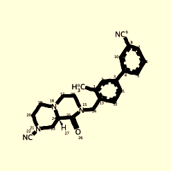 Cc1cc(-c2cccc(C#N)c2)ccc1CN1CCN2CCN(C#N)C[C@@H]2C1=O